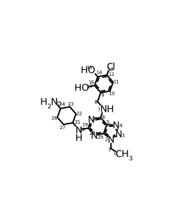 CCn1nnc2c(NCc3ccc(Cl)c(O)c3O)nc(NC3CCC(N)CC3)nc21